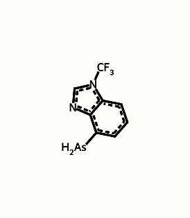 FC(F)(F)n1cnc2c([AsH2])cccc21